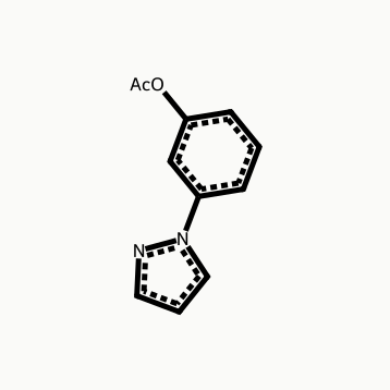 CC(=O)Oc1cccc(-n2cccn2)c1